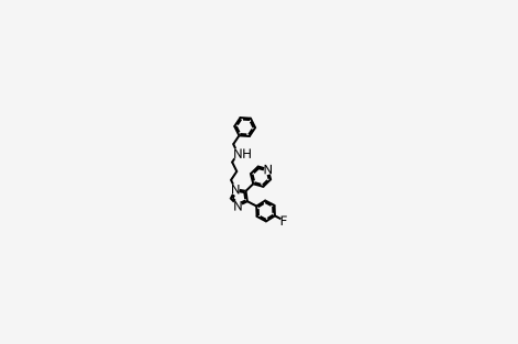 Fc1ccc(-c2ncn(CCCNCc3ccccc3)c2-c2ccncc2)cc1